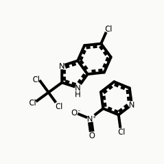 Clc1ccc2[nH]c(C(Cl)(Cl)Cl)nc2c1.O=[N+]([O-])c1cccnc1Cl